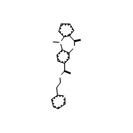 CN1c2ccc(C(=O)NCCc3ccccn3)cc2NC(=O)c2ccccc21